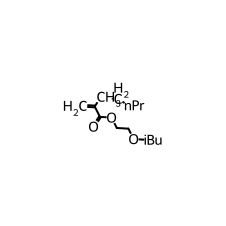 [CH2]C(CC)OCCOC(=O)C(=C)C.[CH2]CC[CH2]